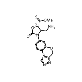 COC(=S)[C@H]1OC(=O)N(c2ccc3c(c2)OCc2nncn2-3)C1CN